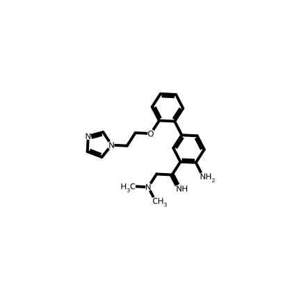 CN(C)CC(=N)c1cc(-c2ccccc2OCCn2ccnc2)ccc1N